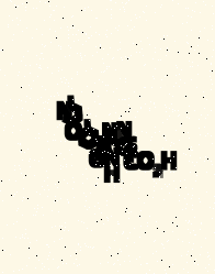 Cc1ccc(Oc2ccc(N3C(=O)Nc4c(C(=O)O)sc5ncnc3c45)cc2C)cn1